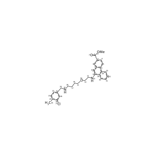 COC(=O)c1ccc2c(c1)nc(NCCOCCCCNCc1ccc(C)c(Cl)c1)c1ccncc12